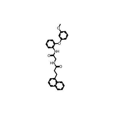 COc1cccc(Oc2ccccc2NC(=O)CNC(=O)CCc2cccc3ccccc23)c1